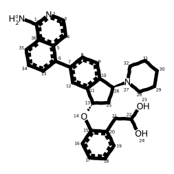 Nc1nccc2c(-c3ccc4c(c3)[C@@H](Oc3ccccc3CC(O)O)C[C@@H]4N3CCCCC3)cccc12